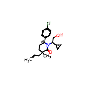 C=CCC1(C)CC[C@@H](c2ccc(Cl)cc2)N(C(CO)C2CC2)C1=O